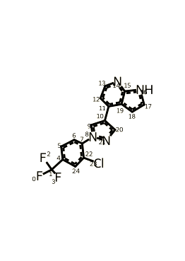 FC(F)(F)c1ccc(-n2cc(-c3ccnc4[nH]ccc34)cn2)c(Cl)c1